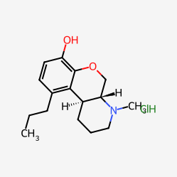 CCCc1ccc(O)c2c1[C@@H]1CCCN(C)[C@H]1CO2.Cl